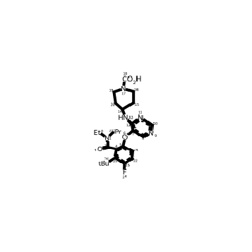 CCN(C(=O)c1c(Oc2cncnc2NC2CCN(C(=O)O)CC2)ccc(F)c1C(C)(C)C)C(C)C